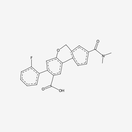 CN(C)C(=O)c1ccc2c(c1)COc1cc(-c3ccccc3F)c(C(=O)O)cc1-2